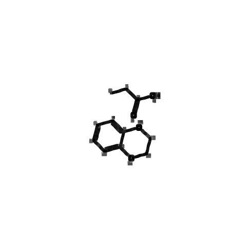 CCC(=O)O.c1ccc2c(c1)OCCO2